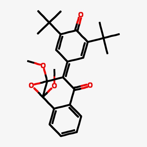 COC12OC1(OC)c1ccccc1C(=O)C2=C1C=C(C(C)(C)C)C(=O)C(C(C)(C)C)=C1